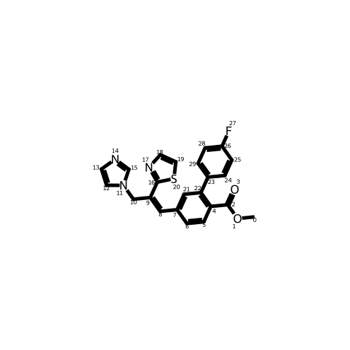 COC(=O)c1ccc(C=C(Cn2ccnc2)c2nccs2)cc1-c1ccc(F)cc1